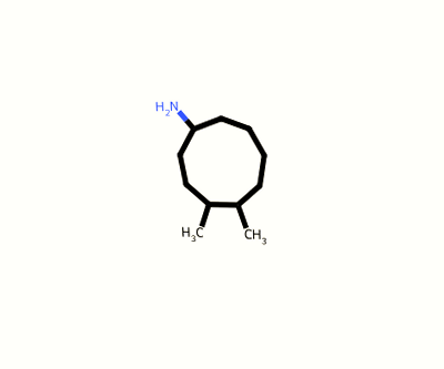 CC1CCCCC(N)CCC1C